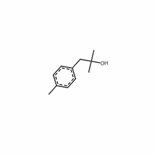 [CH2]C(C)(O)Cc1ccc(C)cc1